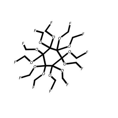 FCOC1(OCF)C(OCF)(OCF)C(OCF)(OCF)C(OCF)(OCF)C(OCF)(OCF)C1(OCF)OCF